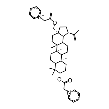 C=C(C[n+]1ccccc1)OC[C@]12CC[C@@H](C(=C)C)C1C1CCC3[C@@]4(C)CC[C@H](OC(=O)C[n+]5ccccc5)C(C)(C)C4CC[C@@]3(C)[C@]1(C)CC2